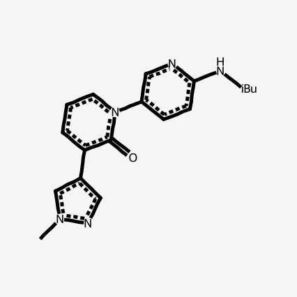 CCC(C)Nc1ccc(-n2cccc(-c3cnn(C)c3)c2=O)cn1